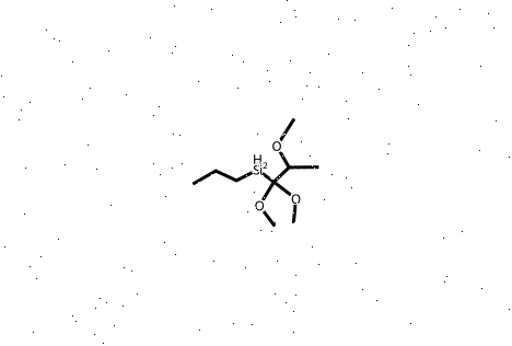 CCC[SiH2]C(OC)(OC)C(C)OC